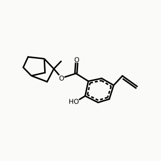 C=Cc1ccc(O)c(C(=O)OC2(C)CC3CCC2C3)c1